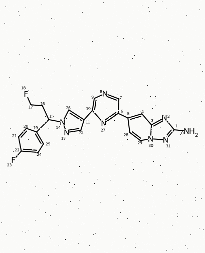 Nc1nc2cc(-c3cncc(-c4cnn(C(CCF)c5ccc(F)cc5)c4)n3)ccn2n1